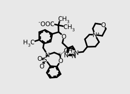 Cc1ccc(C(OCc2cn(CC3CC[N+]4(CCOCC4)CC3)nn2)C(C)(C)C(=O)[O-])cc1CN1C[C@H](C)Oc2ccccc2S1(=O)=O